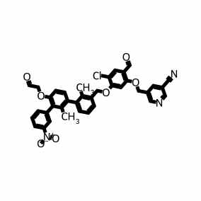 Cc1c(COc2cc(OCc3cncc(C#N)c3)c(C=O)cc2Cl)cccc1-c1ccc(OCC=O)c(-c2cccc([N+](=O)[O-])c2)c1C